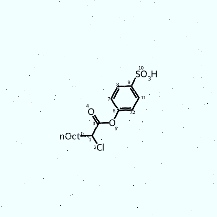 CCCCCCCCC(Cl)C(=O)Oc1ccc(S(=O)(=O)O)cc1